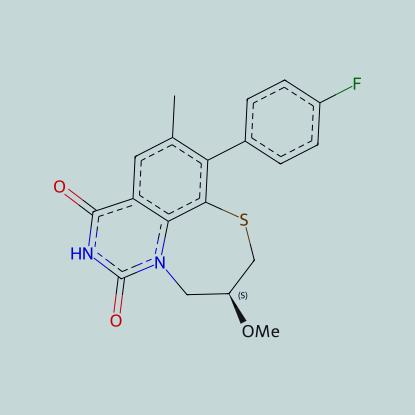 CO[C@@H]1CSc2c(-c3ccc(F)cc3)c(C)cc3c(=O)[nH]c(=O)n(c23)C1